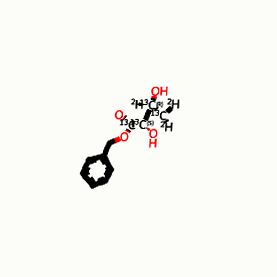 [2H][13CH]([2H])[13C@@]([2H])(O)[13C@H](O)[13C](=O)OCc1ccccc1